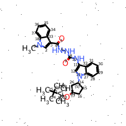 Cn1cc(C(=O)NNC(=O)Nc2cn([C@H]3CC[C@@H](O[Si](C)(C)C(C)(C)C)C3)c3ccccc23)c2ccccc21